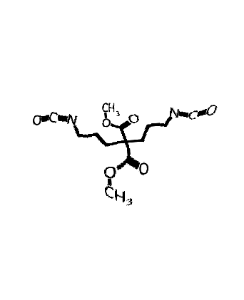 COC(=O)C(CCCN=C=O)(CCCN=C=O)C(=O)OC